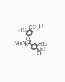 CCN(CC)c1ccc(C(COc2ccc(C(=O)O)c(O)c2)=NNC)cc1C(C)(C)C